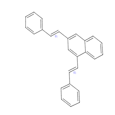 C(=C\c1cc(/C=C/c2ccccc2)c2ccccc2c1)/c1ccccc1